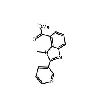 COC(=O)c1cccc2nc(-c3cccnc3)n(C)c12